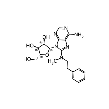 CN(CCc1ccccc1)c1nc2c(N)ncnc2n1[C@@H]1O[C@H](CO)[C@@H](O)[C@H]1O